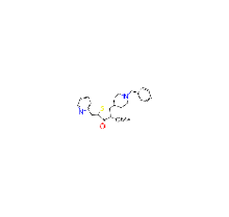 COC1=C(C2CCN(Cc3ccccc3)CC2)SC(Cc2ccccn2)C1=O